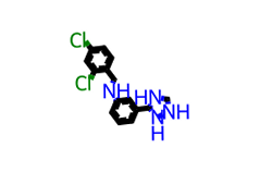 Clc1ccc(CNc2cccc(C3NCNN3)c2)c(Cl)c1